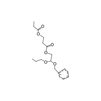 CCCOC(COC(=O)CCOC(=O)CC)OCc1ccccc1